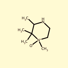 CC1NCC[N+](C)([O-])C1(C)C